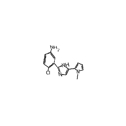 Cn1cccc1-c1cnc(-c2cc(N)ccc2Cl)[nH]1